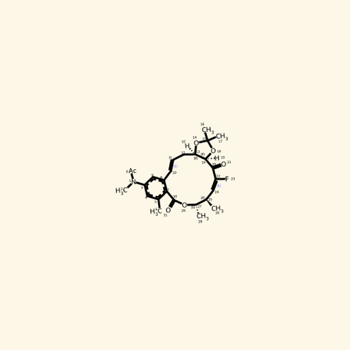 CC(=O)N(C)c1cc(C)c2c(c1)/C=C/C[C@H]1OC(C)(C)O[C@H]1C(=O)/C(F)=C\[C@@H](C)[C@H](C)OC2=O